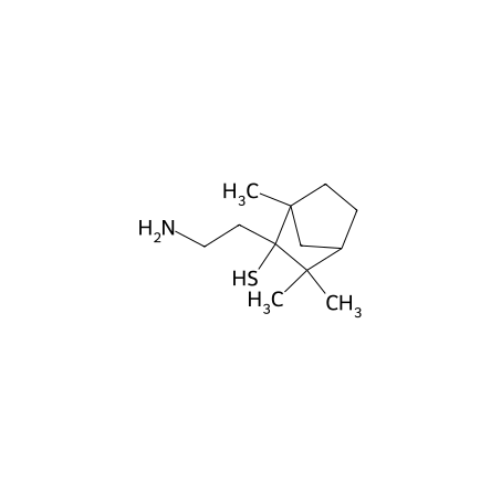 CC12CCC(C1)C(C)(C)C2(S)CCN